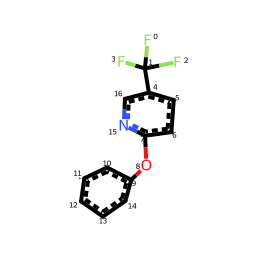 FC(F)(F)c1ccc(Oc2c[c]ccc2)nc1